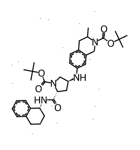 CC1Cc2ccc(N[C@H]3C[C@H](C(=O)N[C@@H]4CCCc5ccccc54)N(C(=O)OC(C)(C)C)C3)cc2CN1C(=O)OC(C)(C)C